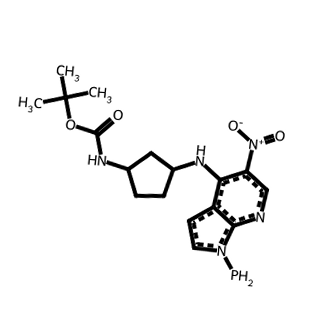 CC(C)(C)OC(=O)NC1CCC(Nc2c([N+](=O)[O-])cnc3c2ccn3P)C1